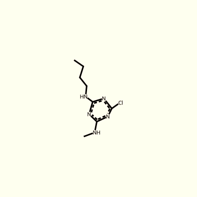 CCCCNc1nc(Cl)nc(NC)n1